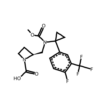 COC(=O)N(C[C@@H]1CCN1C(=O)O)C1(c2ccc(F)c(C(F)(F)F)c2)CC1